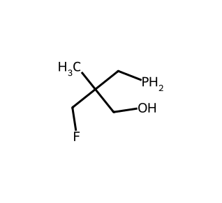 CC(CO)(CF)CP